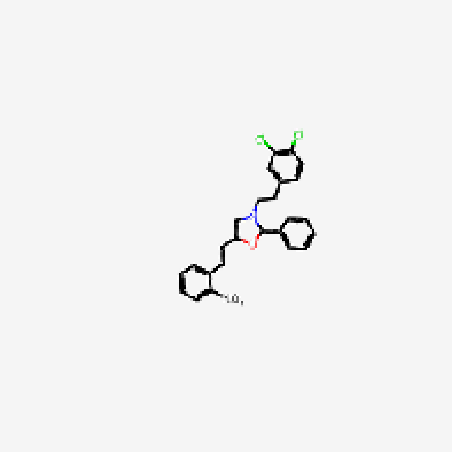 O=[N+]([O-])c1ccccc1CCC1CN(CCc2ccc(Cl)c(Cl)c2)C(c2ccccc2)O1